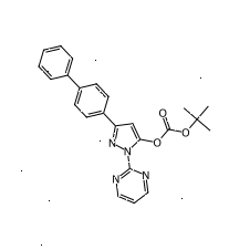 CC(C)(C)OC(=O)Oc1cc(-c2ccc(-c3ccccc3)cc2)nn1-c1ncccn1